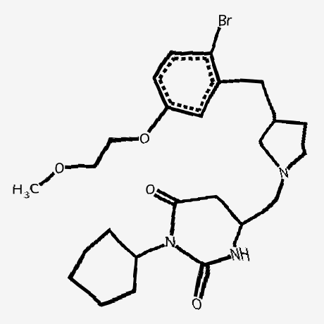 COCCOc1ccc(Br)c(CC2CCN(CC3CC(=O)N(C4CCCCC4)C(=O)N3)C2)c1